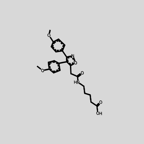 COc1ccc(-c2noc(CC(=O)NCCCCC(=O)O)c2-c2ccc(OC)cc2)cc1